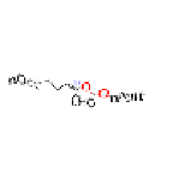 CCCCCCCCCC/C=C(\C=O)OCOCCCCC